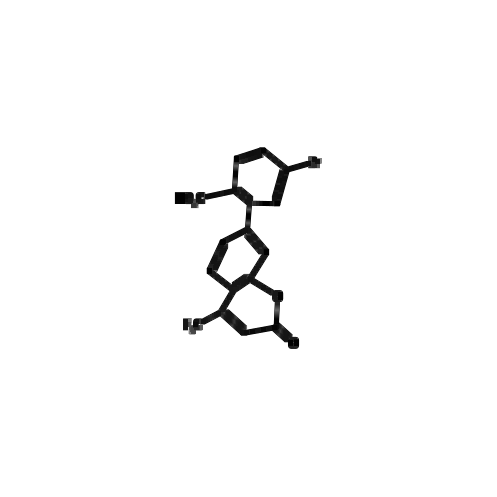 O=C(O)c1ccc(Br)cc1-c1ccc2c(C(F)(F)F)cc(=O)oc2c1